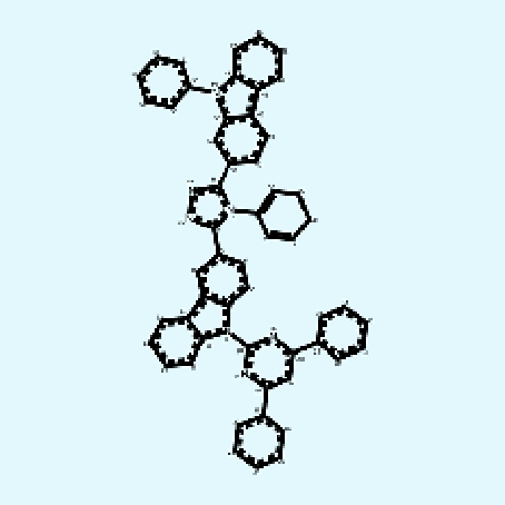 C1=CC(n2c(-c3ccc4c(c3)c3ccccc3n4-c3nc(-c4ccccc4)cc(-c4ccccc4)n3)nnc2-c2ccc3c4ccccc4n(-c4ccccc4)c3c2)=CCC1